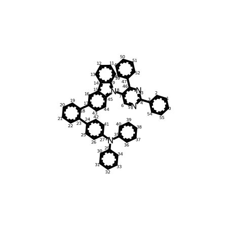 c1ccc(-c2ncc(-n3c4ccccc4c4cc(-c5ccccc5-c5ccc(N(c6ccccc6)c6ccccc6)cc5)ccc43)c(-c3ccccc3)n2)cc1